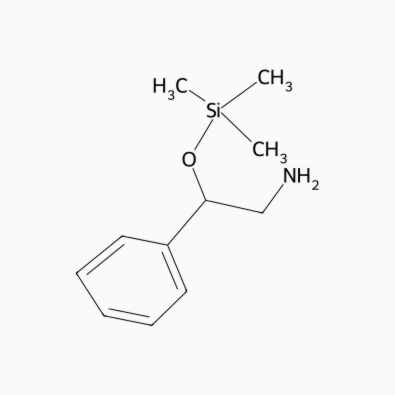 C[Si](C)(C)OC(CN)c1ccccc1